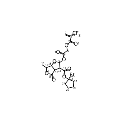 C=C(C(=O)OCC(=O)OC1OC2C(C)OC(=O)C2C1C(=O)OC1(CC)CCCC1)C(F)(F)F